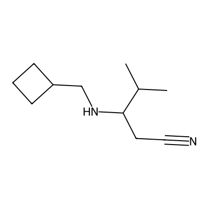 CC(C)C(CC#N)NCC1CCC1